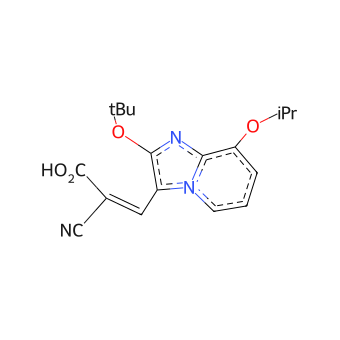 CC(C)Oc1cccn2c(C=C(C#N)C(=O)O)c(OC(C)(C)C)nc12